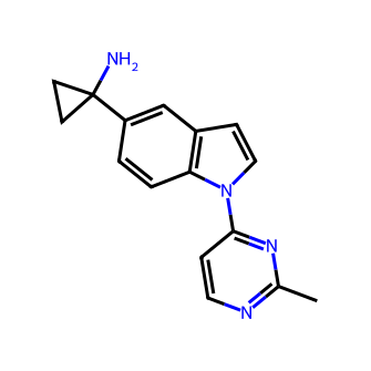 Cc1nccc(-n2ccc3cc(C4(N)CC4)ccc32)n1